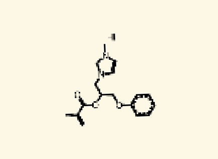 C=C(C)C(=O)OC(COc1ccccc1)CN1C=CN(C)C1.I